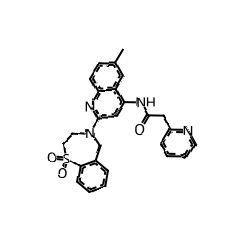 Cc1ccc2nc(N3CCS(=O)(=O)c4ccccc4C3)cc(NC(=O)Cc3ccccn3)c2c1